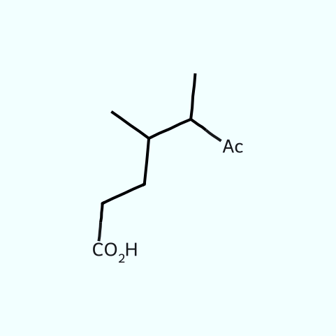 CC(=O)C(C)C(C)CCC(=O)O